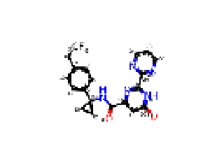 O=C(NC1(c2ccc(CC(F)(F)F)cc2)CC1)c1cc(=O)[nH]c(-c2ncccn2)n1